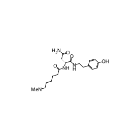 CNCCCCCC(=O)N[C@H](CC(N)=O)C(=O)NCCc1ccc(O)cc1